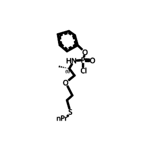 CCCSCCOC[C@H](C)NP(=O)(Cl)Oc1ccccc1